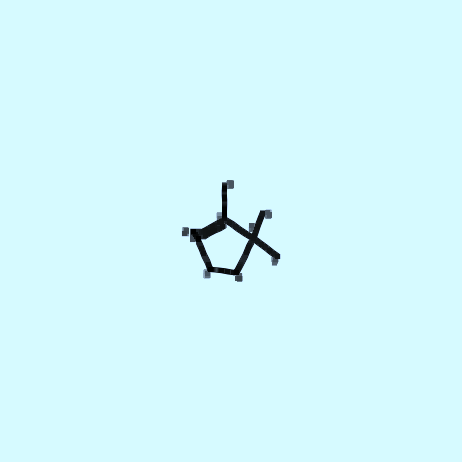 CC1=NCCC1(C)C